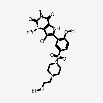 CCCn1c(=O)n(C)c(=O)c2[nH]c(-c3cc(S(=O)(=O)N4CCN(CCOCC)CC4)ccc3OCC)c(Cl)c21